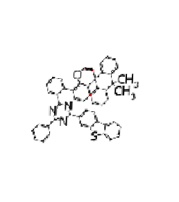 CC1(C)c2ccccc2C2(c3ccccc3Oc3c(-c4ccccc4-c4nc(-c5ccccc5)nc(-c5ccc6c(c5)sc5ccccc56)n4)cccc32)c2ccccc21